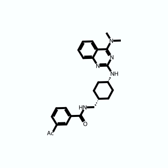 CC(=O)c1cccc(C(=O)NC[C@H]2CC[C@@H](Nc3nc(N(C)C)c4ccccc4n3)CC2)c1